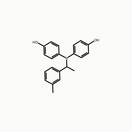 Cc1cccc(C(C)N(c2ccc(O)cc2)c2ccc(O)cc2)c1